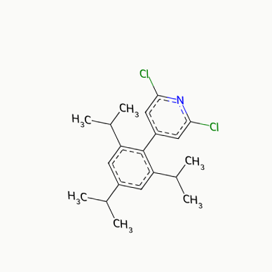 CC(C)c1cc(C(C)C)c(-c2cc(Cl)nc(Cl)c2)c(C(C)C)c1